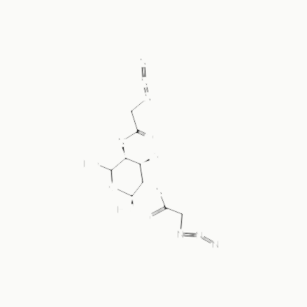 C[C@H]1OC(O)[C@@H](NC(=O)CN=[N+]=[N-])[C@@H](O)[C@@H]1NC(=O)CN=[N+]=[N-]